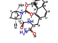 CC(C)(C)OC(=O)N1[C@@H]2CC[C@@H](C2)[C@H]1C(=O)N[C@@H](Cc1ccc2ccccc2c1)C(N)=O